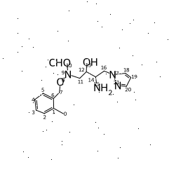 Cc1ccccc1CON(C=O)CC(O)C(N)Cn1cccn1